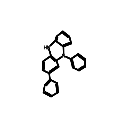 c1ccc(-c2ccc3c(c2)N(c2ccccc2)c2ccccc2N3)cc1